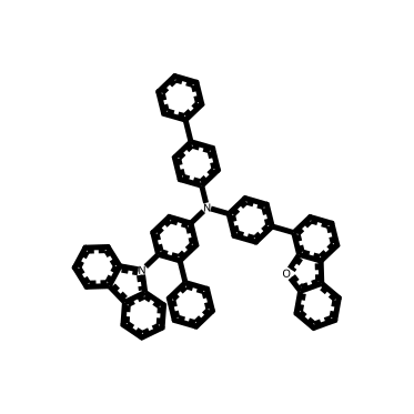 c1ccc(-c2ccc(N(c3ccc(-c4cccc5c4oc4ccccc45)cc3)c3ccc(-n4c5ccccc5c5ccccc54)c(-c4ccccc4)c3)cc2)cc1